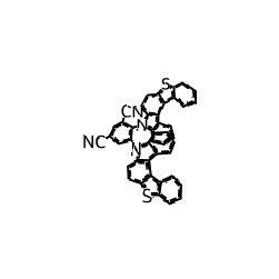 N#Cc1cc(C#N)c(-n2c3ccccc3c3c4c(ccc32)sc2ccccc24)c(-n2c3ccccc3c3c4c(ccc32)sc2ccccc24)c1